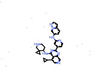 c1cc(-c2nc(NC3CCNCC34CC4)c3c(C4CC4)cncc3n2)cc(Nc2ccc3ccnn3c2)n1